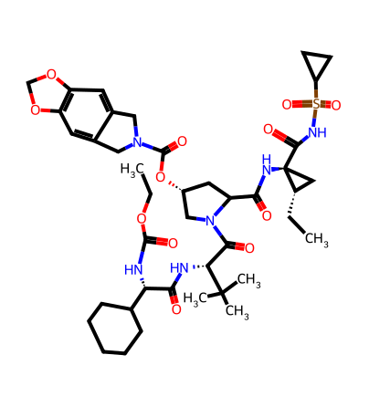 CCOC(=O)N[C@H](C(=O)N[C@H](C(=O)N1C[C@H](OC(=O)N2Cc3cc4c(cc3C2)OCO4)CC1C(=O)N[C@@]1(C(=O)NS(=O)(=O)C2CC2)C[C@@H]1CC)C(C)(C)C)C1CCCCC1